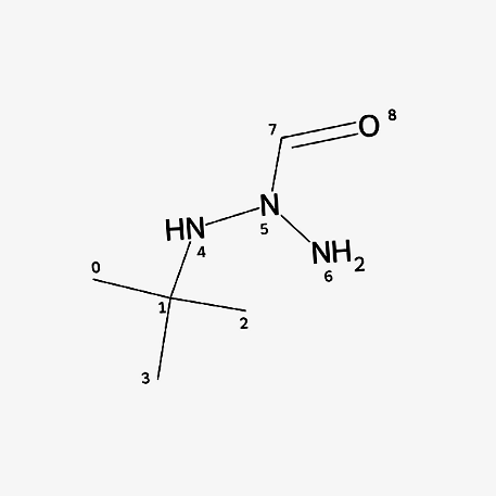 CC(C)(C)NN(N)C=O